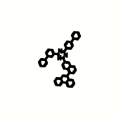 c1ccc(-c2ccc(-c3nc(-c4cccc(-c5ccccc5)c4)nc(-c4ccc5c(-c6cc7ccccc7c7ccccc67)cccc5c4)n3)cc2)cc1